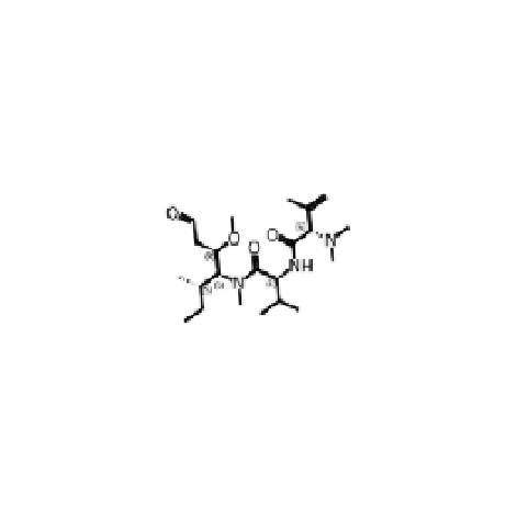 C=C(C)[C@@H](C(=O)N[C@H](C(=O)N(C)[C@@H]([C@@H](C)CC)[C@@H](CC=O)OC)C(C)C)N(C)C